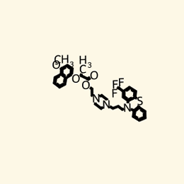 COc1ccc(OC(C)C(=O)OCCN2CCN(CCCN3c4ccccc4Sc4ccc(C(F)(F)F)cc43)CC2)c2ccccc12